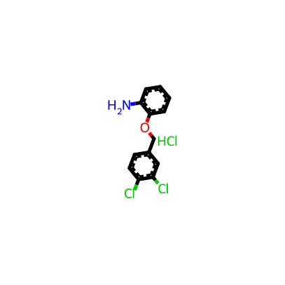 Cl.Nc1ccccc1OCc1ccc(Cl)c(Cl)c1